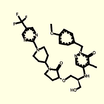 COc1ccc(Cn2ncc(N[C@@H](CO)CO[C@@H]3CCN(C4CCN(c5ncc(C(F)(F)F)cn5)CC4)C3=O)c(C)c2=O)cc1